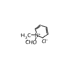 C[N+]1(C=O)C=CC=CC1.[Cl-]